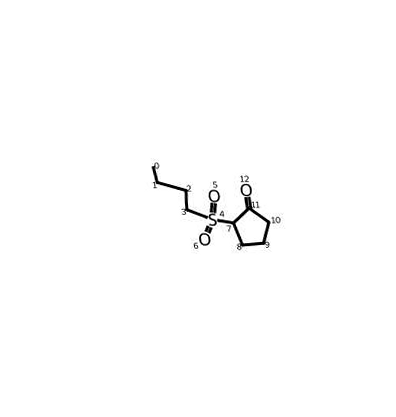 CCCCS(=O)(=O)C1CCCC1=O